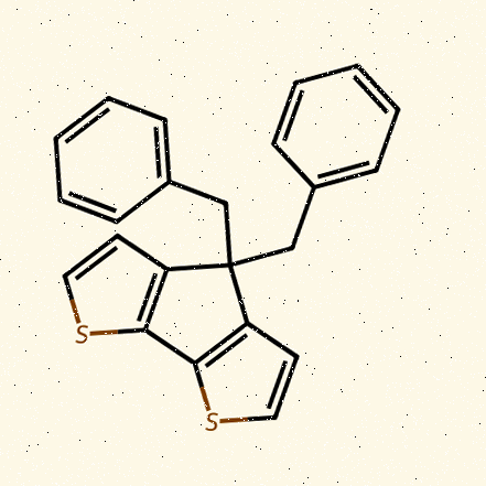 c1ccc(CC2(Cc3ccccc3)c3ccsc3-c3sccc32)cc1